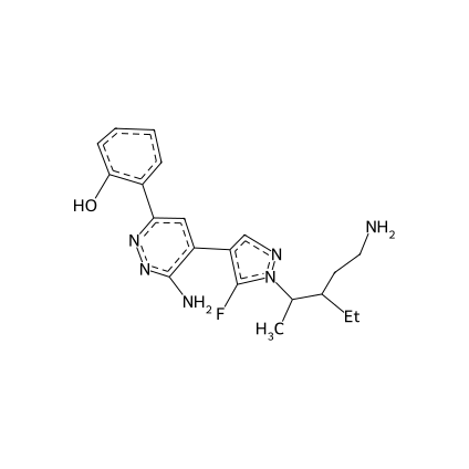 CCC(CCN)C(C)n1ncc(-c2cc(-c3ccccc3O)nnc2N)c1F